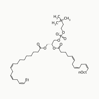 CC/C=C\C/C=C\C/C=C\CCCCCCCC(=O)OC[C@H](COP(=O)([O-])OCC[N+](C)(C)C)OC(=O)CCC/C=C\C/C=C\C/C=C\CCCCCCCC